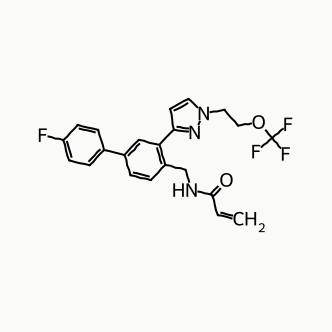 C=CC(=O)NCc1ccc(-c2ccc(F)cc2)cc1-c1ccn(CCOC(F)(F)F)n1